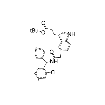 Cc1ccc(C(NC(=O)Cc2ccc3[nH]cc(CCC(=O)OC(C)(C)C)c3c2)c2ccccc2)c(Cl)c1